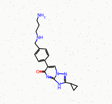 NCCCNCc1ccc(-c2cn3nc(C4CC4)[nH]c3nc2=O)cc1